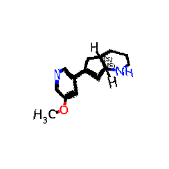 COc1cncc(C2=C[C@H]3NCCC[C@H]3C2)c1